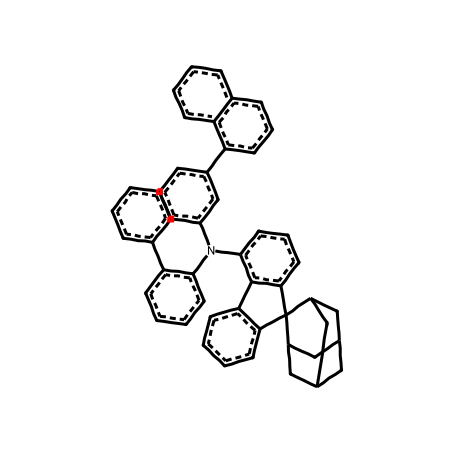 c1ccc(-c2ccccc2N(c2cccc(-c3cccc4ccccc34)c2)c2cccc3c2-c2ccccc2C32C3CC4CC(C3)CC2C4)cc1